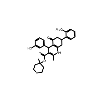 COc1ccccc1C1CC(=O)C2=C(C1)NC(C)=C(C(=O)OC1(C)CCOCC1)C2c1cccc(O)c1